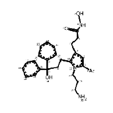 CC(=O)c1cc(CCC(=O)NO)c(CCC(O)(c2ccccc2)c2ccccc2)n1CCCN